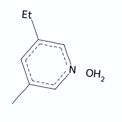 CCc1cncc(C)c1.O